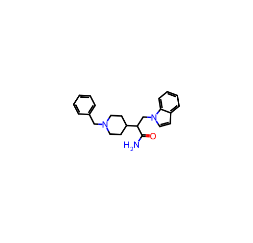 NC(=O)C(Cn1ccc2ccccc21)C1CCN(Cc2ccccc2)CC1